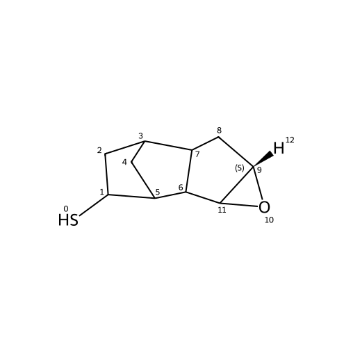 SC1CC2CC1C1C2C[C@@H]2OC12